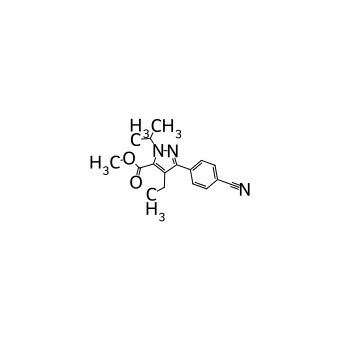 CCc1c(-c2ccc(C#N)cc2)nn(C(C)C)c1C(=O)OC